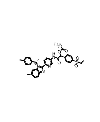 CCS(=O)(=O)c1ccc(C(OC(N)=O)C(=O)Nc2ccc(-c3nc4ccc(C)cc4n3[C@@H](C)c3ccc(C)cc3)nc2)cc1